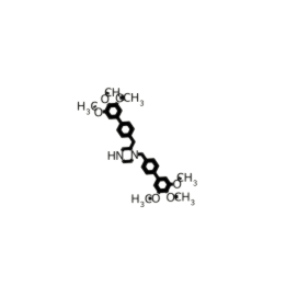 COc1cc(-c2ccc(CC3CNCCN3Cc3ccc(-c4cc(OC)c(OC)c(OC)c4)cc3)cc2)cc(OC)c1OC